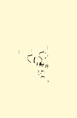 CCOc1nnc(NC(=O)c2cnc(C)cc2-c2c(OC)ccc(C)c2F)s1